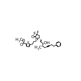 COC(=O)c1ccc(CCCN2C(=O)C(F)(F)C[C@@H]2C=C[C@H](O)[C@@H](C)CC#CCCc2ccccc2)s1